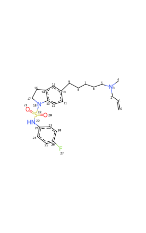 C=CCN(C)CCCCCc1ccc2c(c1)CCN2S(=O)(=O)Nc1ccc(F)cc1